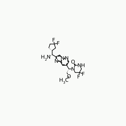 COC[C@H](c1cnn2cc([C@H](N)[C@@H]3CCC(F)(F)C3)nc2c1)N1CC(F)(F)CNC1=O